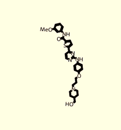 COc1cccc(NC(=O)c2ccc(-c3ccnc(Nc4ccc(OCCCN5CCC(CO)CC5)cc4)n3)s2)c1